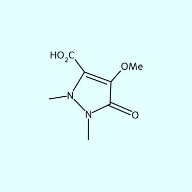 COc1c(C(=O)O)n(C)n(C)c1=O